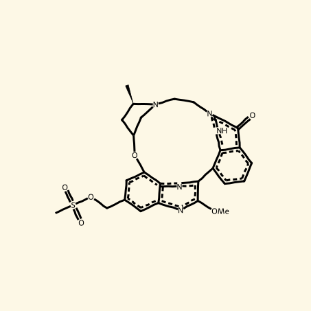 COc1nc2cc(COS(C)(=O)=O)cc3c2nc1-c1cccc2c(=O)n([nH]c12)CCN1CC(C[C@H]1C)O3